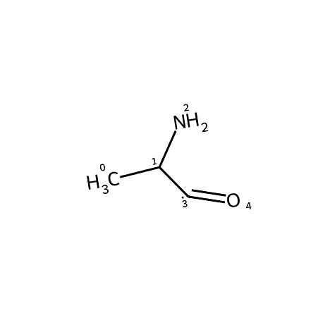 CC(N)[C]=O